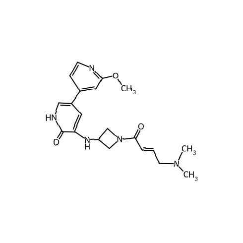 COc1cc(-c2c[nH]c(=O)c(NC3CN(C(=O)C=CCN(C)C)C3)c2)ccn1